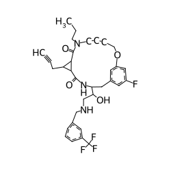 C#CCC1C2C(=O)NC(C(O)CNCc3cccc(C(F)(F)F)c3)Cc3cc(F)cc(c3)OCCCCN(CCC)C(=O)C12